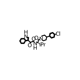 CC(C)[C@@H](NC(=O)C(=O)c1c[nH]c2ccccc12)C(=O)N1CCC(c2ccc(Cl)cc2)CC1